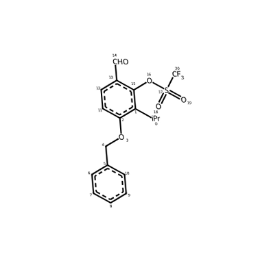 CC(C)c1c(OCc2ccccc2)ccc(C=O)c1OS(=O)(=O)C(F)(F)F